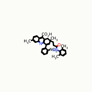 Cc1ccc2c(C(=O)O)c3c(nc2c1)C(c1ccccc1[N+](=O)[O-])=CC(C)(CCC(=O)Nc1c(C)cccc1C)C3